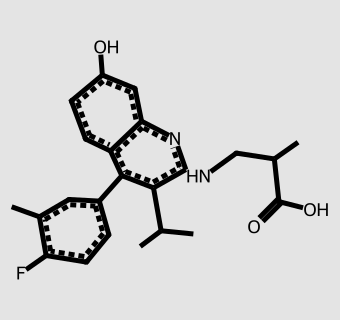 Cc1cc(-c2c(C(C)C)c(NCC(C)C(=O)O)nc3cc(O)ccc23)ccc1F